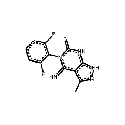 Cc1n[nH]c2[nH]c(=S)n(-c3c(F)cccc3F)c(=N)c12